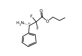 CCCOC(=O)C(F)(F)[C@@H](N)c1ccccc1